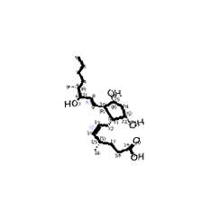 CCCC[C@@H](C)[C@H](O)/C=C/[C@@H]1[C@@H](C/C=C\[C@@H](C)CCC(=O)O)[C@@H](O)C[C@H]1O